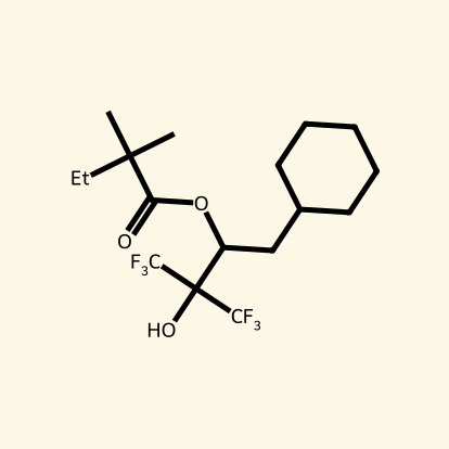 CCC(C)(C)C(=O)OC(CC1CCCCC1)C(O)(C(F)(F)F)C(F)(F)F